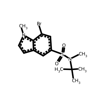 CN(C(C)(C)C)S(=O)(=O)c1cc(Br)c2c(ccn2C)c1